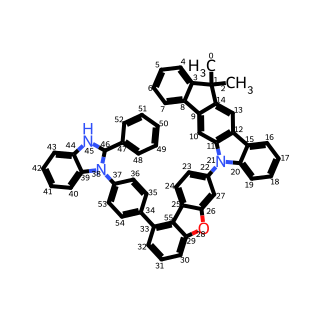 CC1(C)c2ccccc2-c2cc3c(cc21)c1ccccc1n3-c1ccc2c(c1)oc1cccc(-c3ccc(N4c5ccccc5NC4c4ccccc4)cc3)c12